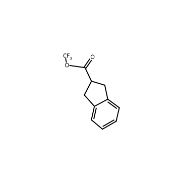 O=C(OC(F)(F)F)C1Cc2ccccc2C1